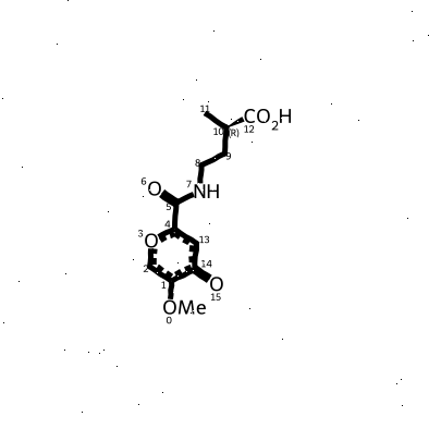 COc1coc(C(=O)NCC[C@@H](C)C(=O)O)cc1=O